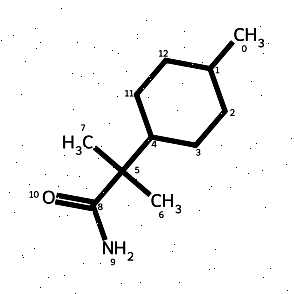 CC1CCC(C(C)(C)C(N)=O)CC1